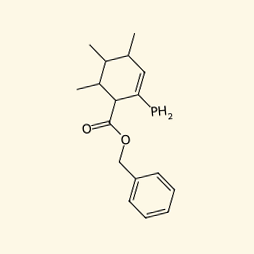 CC1C=C(P)C(C(=O)OCc2ccccc2)C(C)C1C